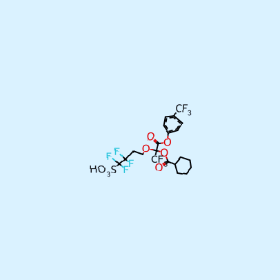 O=C(OC(OCCC(F)(F)C(F)(F)S(=O)(=O)O)(C(=O)Oc1ccc(C(F)(F)F)cc1)C(F)(F)F)C1CCCCC1